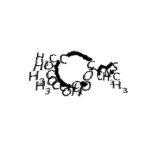 C/C(=C\c1csc(C)n1)[C@@H]1C/C=C\CCC[C@H](C)[C@H](O)[C@@H](C)C(=O)C(C)(C)[C@H](O)CC(=O)O1